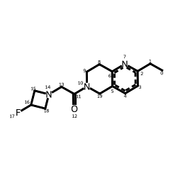 CCc1ccc2c(n1)CCN(C(=O)CN1CC(F)C1)C2